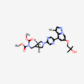 CC(C)(O)COc1cc(-c2cnc(N3C[C@@H]4C(CN(C(=O)OC(C)(C)C)C(=O)OC(C)(C)C)[C@@H]4C3)cn2)c2c(C#N)cnn2c1